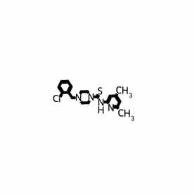 Cc1cc(C)nc(NC(=S)N2CCN(Cc3ccccc3Cl)CC2)c1